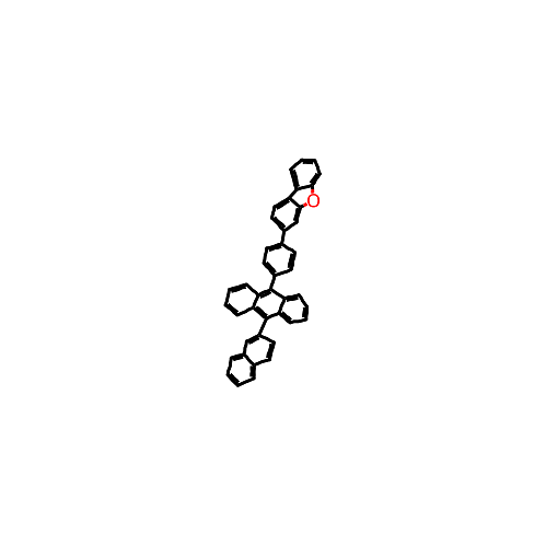 c1ccc2cc(-c3c4ccccc4c(-c4ccc(-c5ccc6c(c5)oc5ccccc56)cc4)c4ccccc34)ccc2c1